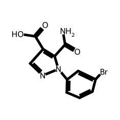 NC(=O)c1c(C(=O)O)cnn1-c1cccc(Br)c1